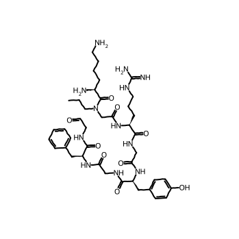 CCCN(CC(=O)N[C@@H](CCCNC(=N)N)C(=O)NCC(=O)N[C@@H](Cc1ccc(O)cc1)C(=O)NCC(=O)N[C@@H](Cc1ccccc1)C(=O)NCC=O)C(=O)[C@@H](N)CCCCN